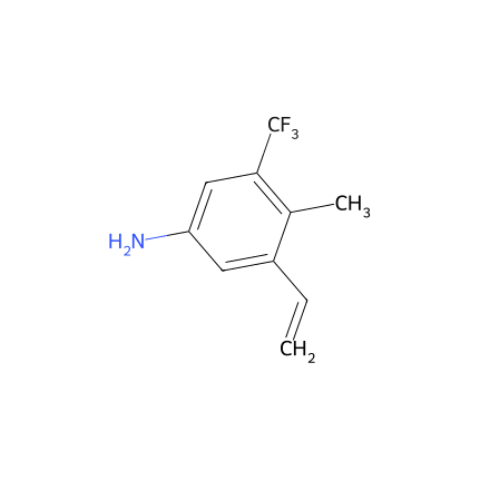 C=Cc1cc(N)cc(C(F)(F)F)c1C